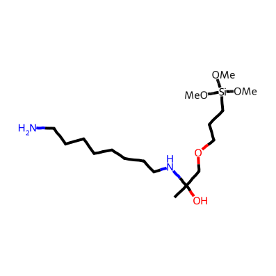 CO[Si](CCCOCC(C)(O)NCCCCCCCCN)(OC)OC